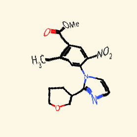 COC(=O)c1cc([N+](=O)[O-])c(-n2ccnc2C2CCCOC2)cc1C